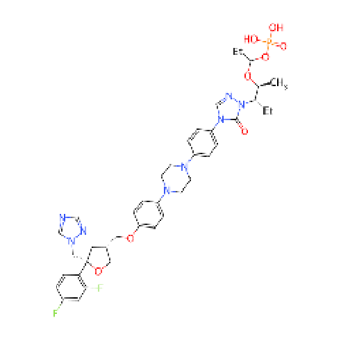 CCC(O[C@@H](C)[C@H](CC)n1ncn(-c2ccc(N3CCN(c4ccc(OC[C@@H]5CO[C@@](Cn6cncn6)(c6ccc(F)cc6F)C5)cc4)CC3)cc2)c1=O)OP(=O)(O)O